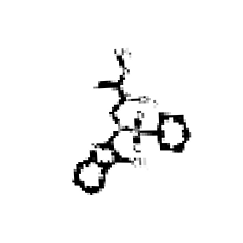 COC(=O)[C@@H](C)CN(c1sc2ccccc2c1C)S(=O)(=O)c1ccccc1